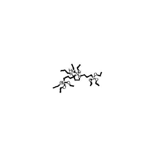 CCCNC1(CCC[Si](OCC)(OCC)OCC)CCN(CCC[Si](OCC)(OCC)OCC)[Si]1(OCC)OCC